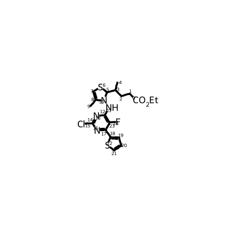 CCOC(=O)CCC(C)C1SC=C(C)N1Nc1nc(Cl)nc(-c2cccs2)c1F